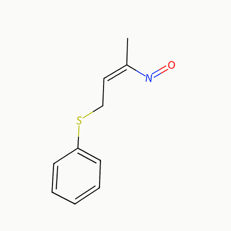 CC(=CCSc1ccccc1)N=O